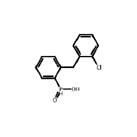 O=[PH](O)c1ccccc1Cc1ccccc1Cl